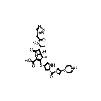 CC(NC(=O)Cn1cnnn1)[C@H]1C(=O)N2C(C(=O)O)=C(S[C@@H]3CN[C@H](C(=O)N4CC(N5CCNCC5)C4)C3)[C@H](C)[C@H]12